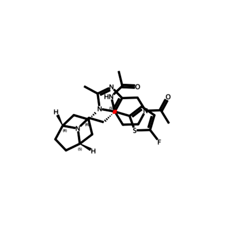 CC(=O)N[C@@H](CCN1[C@@H]2CC[C@H]1C[C@@H](n1c(C)nc3c1CCN(C(C)=O)C3)C2)c1ccc(F)s1